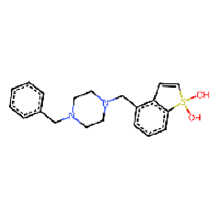 OS1(O)C=Cc2c(CN3CCN(Cc4ccccc4)CC3)cccc21